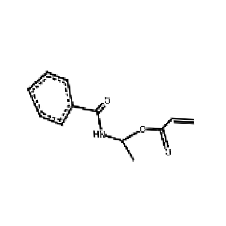 C=CC(=O)OC(C)NC(=O)c1ccccc1